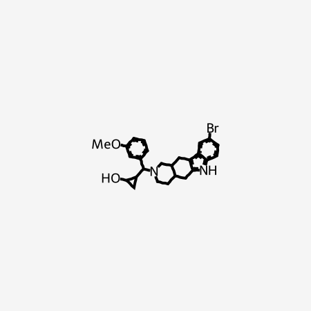 COc1cccc(C(C2CC2O)N2CCC3Cc4[nH]c5ccc(Br)cc5c4CC3C2)c1